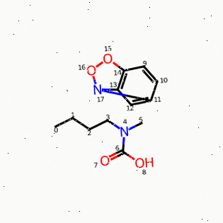 CCCCN(C)C(=O)O.c1cc2cc3c1oon2-3